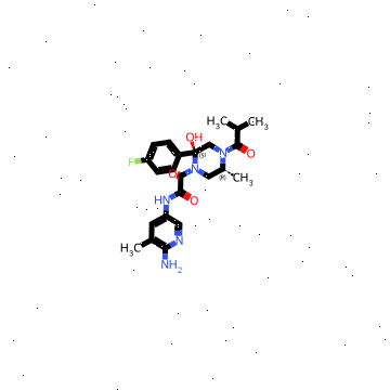 Cc1cc(NC(=O)C(=O)N2C[C@@H](C)N(C(=O)C(C)C)C[C@@]2(O)c2ccc(F)cc2)cnc1N